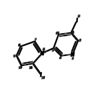 Ic1cncc(-[n+]2ccccc2I)c1